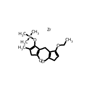 CCOC1=CCC(Cl)=C1CC1=C(Cl)CC(C)=C1O[Si](C)(C)C.[Zr]